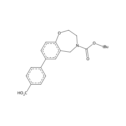 CC(C)(C)OC(=O)N1CCOc2ccc(-c3ccc(C(=O)O)cc3)cc2C1